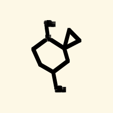 CC(C)(C)C1CCN(C(C)(C)C)C2(CC2)C1